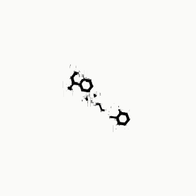 O=c1cc(C(F)(F)F)c2cc(S(=O)(=O)NCCSCc3c(F)cccc3Cl)ccc2[nH]1